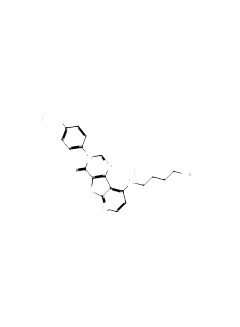 Cc1ccc(-n2cnc3c(sc4nccc(NCCCCO)c43)c2=O)cc1